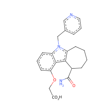 NC(=O)C1CCCCc2c1c1c(OCC(=O)O)cccc1n2Cc1cccnc1